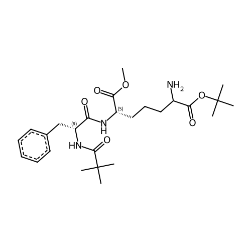 COC(=O)[C@H](CCCC(N)C(=O)OC(C)(C)C)NC(=O)[C@@H](Cc1ccccc1)NC(=O)C(C)(C)C